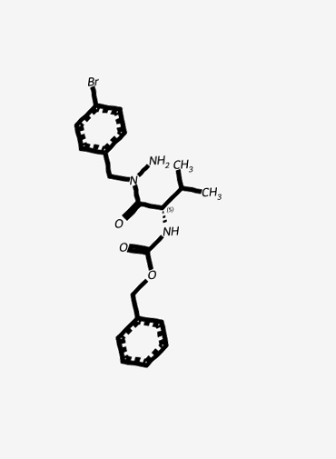 CC(C)[C@H](NC(=O)OCc1ccccc1)C(=O)N(N)Cc1ccc(Br)cc1